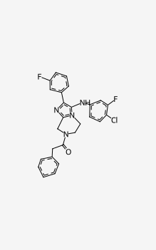 O=C(Cc1ccccc1)N1CCn2c(nc(-c3cccc(F)c3)c2Nc2ccc(Cl)c(F)c2)C1